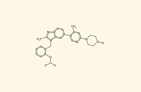 Cc1cc(N2CC[S+]([O-])CC2)ncc1-c1ccc2nc(C)n(Cc3ccccc3OC(F)F)c2c1